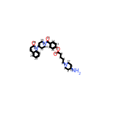 NC1CCN(CCCCC(=O)Oc2ccc(C(=O)N3CCC(N4C(=O)CCc5ccccc54)CC3)cc2)CC1